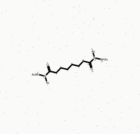 CC(=O)NN(C(C)=O)C(=O)CCCCCCC(=O)N(NC(C)=O)C(C)=O